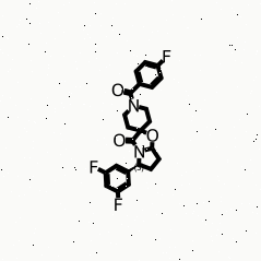 O=C(c1ccc(F)cc1)N1CCC2(CC1)OC1CC[C@@H](c3cc(F)cc(F)c3)N1C2=O